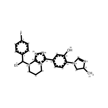 CCC(c1ccc(F)cc1)N1CCCn2c(-c3ccc(N4C=NC(C)C4)c(O)c3)nnc21